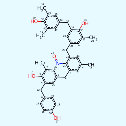 Cc1cc(Cc2cc(C)c(O)c(Cc3ccc(O)cc3)c2)c(N=O)c(Cc2cc(C)c(O)c(Cc3cc(C)c(O)c(C)c3)c2)c1